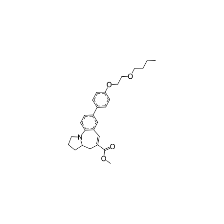 CCCCOCCOc1ccc(-c2ccc3c(c2)C=C(C(=O)OC)CC2CCCN32)cc1